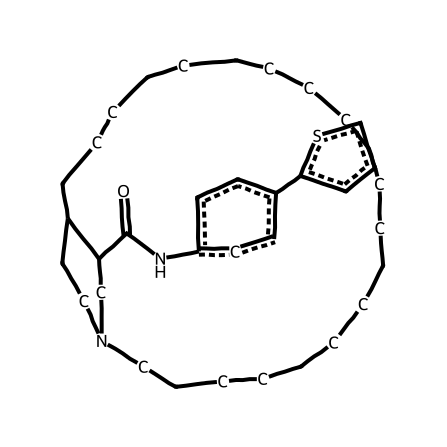 O=C(Nc1ccc(-c2cccs2)cc1)C1CN2CCCCCCCCCCCCCCCCCCCCC1CC2